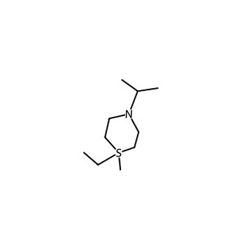 CCS1(C)CCN(C(C)C)CC1